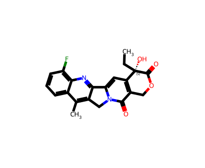 CC[C@@]1(O)C(=O)OCc2c1cc1n(c2=O)Cc2c-1nc1c(F)cccc1c2C